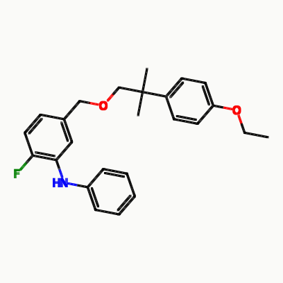 CCOc1ccc(C(C)(C)COCc2ccc(F)c(Nc3ccccc3)c2)cc1